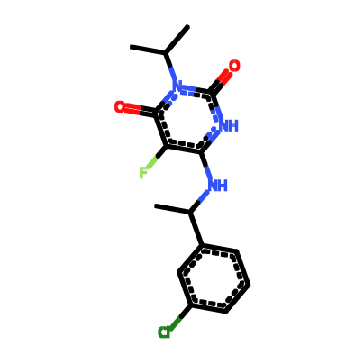 CC(Nc1[nH]c(=O)n(C(C)C)c(=O)c1F)c1cccc(Cl)c1